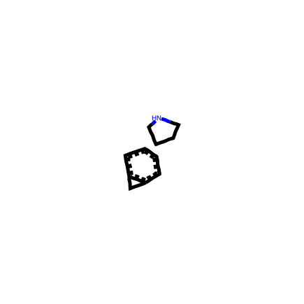 C1CCNC1.c1ccc2c(c1)C2